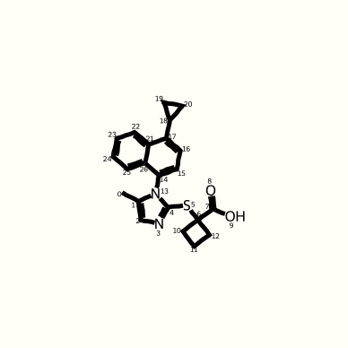 Cc1cnc(SC2(C(=O)O)CCC2)n1-c1ccc(C2CC2)c2ccccc12